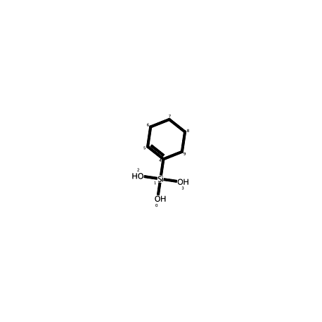 O[Si](O)(O)C1=CCCCC1